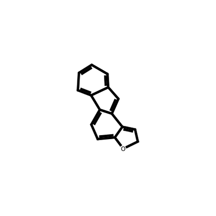 C1=c2c(ccc3c2=Cc2ccccc2-3)OC1